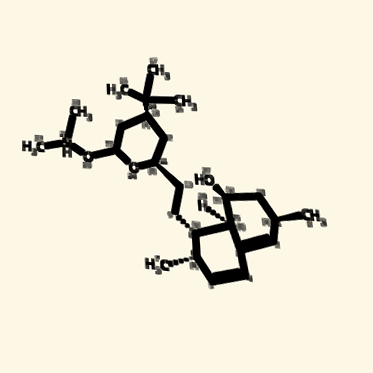 C[C@H]1C=C2C=C[C@H](C)[C@H](CC[C@@H]3C[C@@H](C(C)(C)C)CC(O[SiH](C)C)O3)[C@H]2[C@@H](O)C1